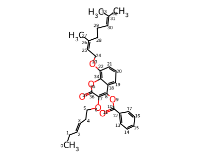 CCC=CCCOc1c(OC(=O)c2ccccc2)c2cccc(OCC=C(C)CCC=C(C)C)c2oc1=O